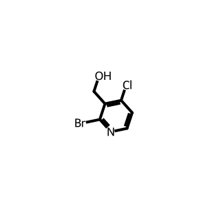 OCc1c(Cl)ccnc1Br